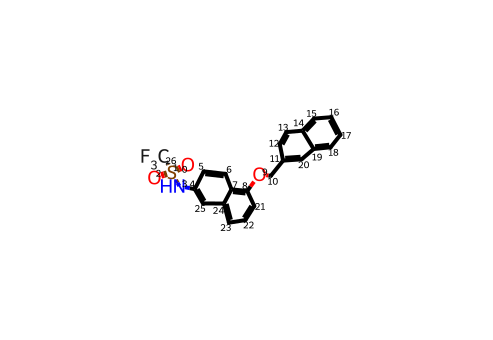 O=S(=O)(Nc1ccc2c(OCc3ccc4ccccc4c3)cccc2c1)C(F)(F)F